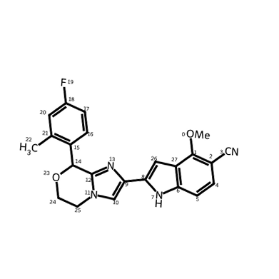 COc1c(C#N)ccc2[nH]c(-c3cn4c(n3)C(c3ccc(F)cc3C)OCC4)cc12